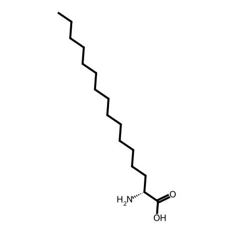 CCCCCCCCCCCCCC[C@@H](N)C(=O)O